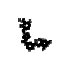 CC(NC(=O)Cn1cc(Nc2nccc(NCc3c(F)cc(F)cc3F)n2)cn1)C(F)F